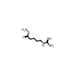 N=C(N)NCCCCC(=O)ON